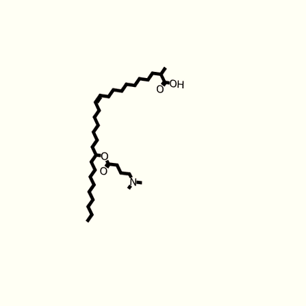 CCCCCCCCCC(CCCCCC/C=C\CCCCCCCCC(C)C(=O)O)OC(=O)CCCN(C)C